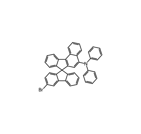 Brc1ccc2c(c1)-c1ccccc1C21c2ccccc2-c2c1cc(N(c1ccccc1)c1ccccc1)c1ccccc21